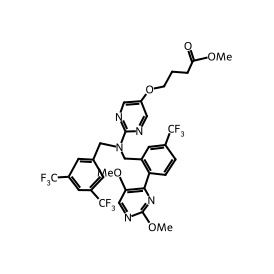 COC(=O)CCCOc1cnc(N(Cc2cc(C(F)(F)F)cc(C(F)(F)F)c2)Cc2cc(C(F)(F)F)ccc2-c2nc(OC)ncc2OC)nc1